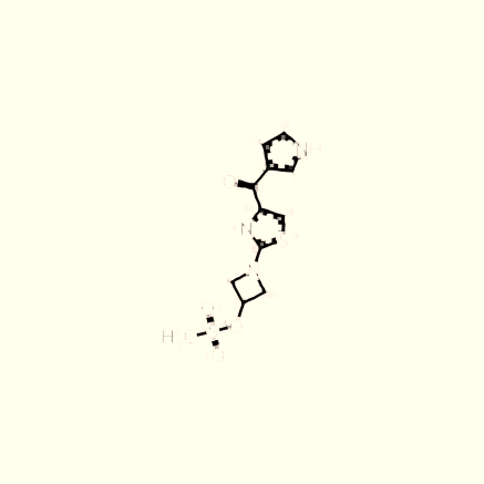 CS(=O)(=O)OC1CN(c2nc(C(=O)c3cc[nH]c3)cs2)C1